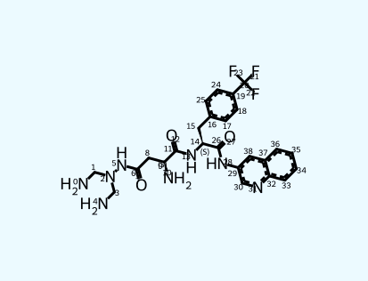 NCN(CN)NC(=O)C[C@H](N)C(=O)N[C@@H](Cc1ccc(C(F)(F)F)cc1)C(=O)Nc1cnc2ccccc2c1